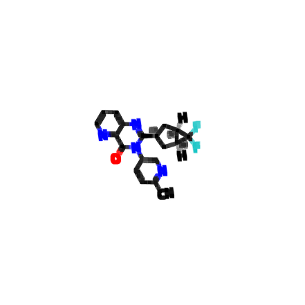 N#Cc1ccc(-n2c([C@H]3C[C@@H]4[C@H](C3)C4(F)F)nc3cccnc3c2=O)cn1